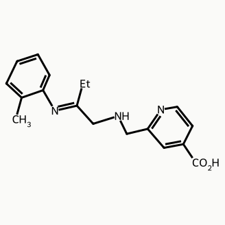 CC/C(CNCc1cc(C(=O)O)ccn1)=N\c1ccccc1C